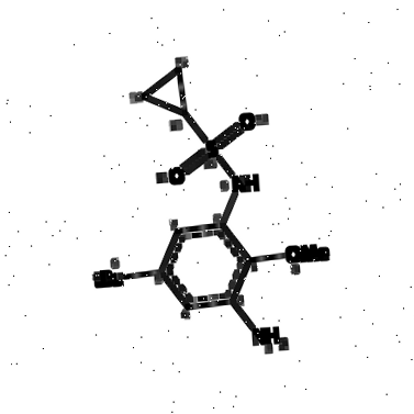 COc1c(N)cc(C(C)(C)C)cc1NS(=O)(=O)C1CC1